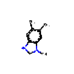 Cc1cc2c(cc1C)N(C#N)CN2